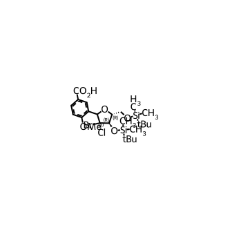 COc1ccc(C(=O)O)cc1C1O[C@H](CO[Si](C)(C)C(C)(C)C)[C@@H](O[Si](C)(C)C(C)(C)C)[C@@]1(Cl)Br